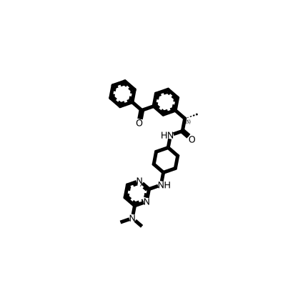 C[C@H](C(=O)NC1CCC(Nc2nccc(N(C)C)n2)CC1)c1cccc(C(=O)c2ccccc2)c1